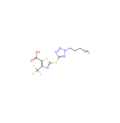 CCCCn1nnc(Sc2nc(C(F)(F)F)c(C(=O)O)s2)n1